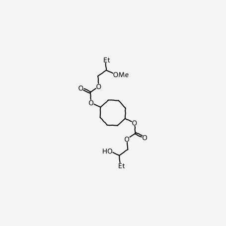 CCC(O)COC(=O)OC1CCCC(OC(=O)OCC(CC)OC)CCC1